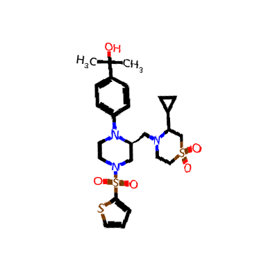 CC(C)(O)c1ccc(N2CCN(S(=O)(=O)c3cccs3)C[C@@H]2CN2CCS(=O)(=O)CC2C2CC2)cc1